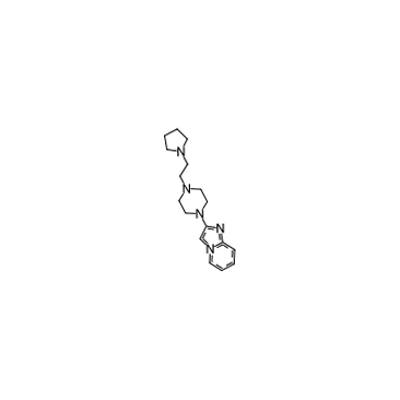 c1ccn2cc(N3CCN(CCN4CCCC4)CC3)nc2c1